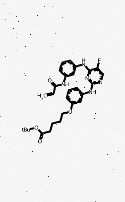 C=CC(=O)Nc1cccc(Nc2nc(Nc3cccc(OCCCCC(=O)OC(C)(C)C)c3)ncc2F)c1